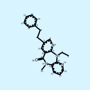 CCN1c2ncc(CCc3ccccc3)cc2C(=O)N(C)c2cccnc21